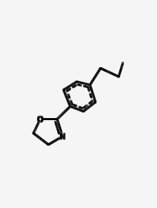 CCCc1ccc(C2=NCCO2)cc1